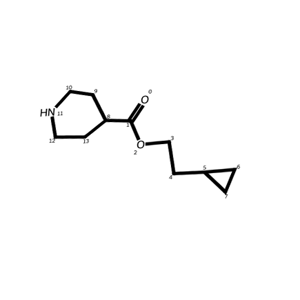 O=C(OCCC1CC1)C1CCNCC1